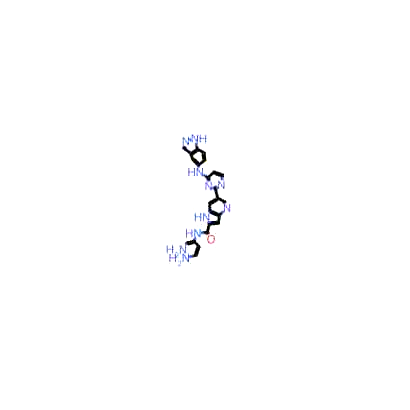 N/C=C\C(=C/N)NC(=O)c1cc2ncc(-c3nccc(Nc4ccc5[nH]ncc5c4)n3)cc2[nH]1